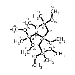 CO[Si](C[Si](C)(OC)OC)(C[Si](C)(OC)OC)C[Si](C)(OC)OC